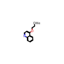 COCCOc1ccnc2ccccc12